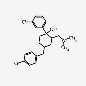 CN(C)CC1CC(Cc2ccc(Cl)cc2)CCC1(O)c1cccc(Cl)c1